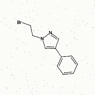 BrCCn1cc(-c2ccccc2)cn1